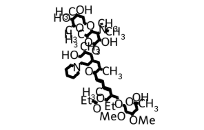 CCC(=O)OC(CC)C(/C=C(C)/C=C/C(=O)C(C)CC(CCN1CCCCC1)C(OC1OC(C)C(OC2CC(C)(O)C(O)C(C)O2)C(N(C)C)C1O)C(C)CO)COC1OC(C)(O)CC(OC)C1OC